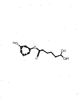 O=C(CCCCC(O)O)Oc1cccc(O)c1